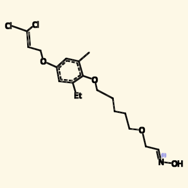 CCc1cc(OCC=C(Cl)Cl)cc(C)c1OCCCCCOC/C=N/O